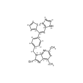 CCc1nc2c(C)cc(C)nc2n1Cc1ccc(C(=Cc2nnn[nH]2)c2cccs2)cc1